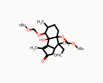 CCCCOCOC1C(C)CCC2(OCOCCCC)C(C)(CC=O)C3CC(=O)C(C)=C3C12O